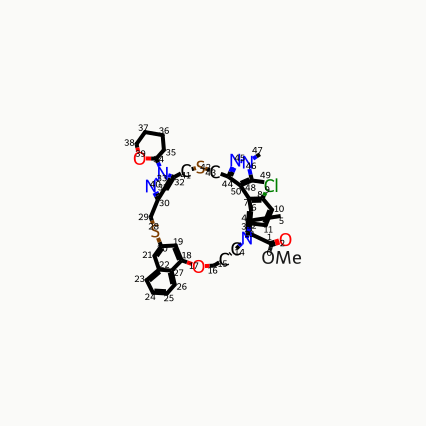 COC(=O)c1c(C)c2c3c(Cl)ccc2n1CCCOc1cc(cc2ccccc12)SCc1cc(n(C2CCCCO2)n1)CSCc1nn(C)c(C)c1-3